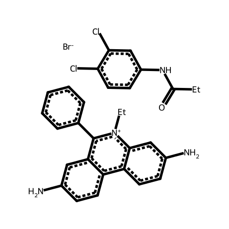 CCC(=O)Nc1ccc(Cl)c(Cl)c1.CC[n+]1c(-c2ccccc2)c2cc(N)ccc2c2ccc(N)cc21.[Br-]